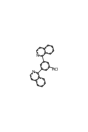 Cc1cc(-c2nccc3ccccc23)cc(-c2nccc3ccccc23)c1.Cl